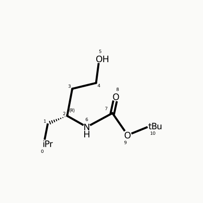 CC(C)C[C@H](CCO)NC(=O)OC(C)(C)C